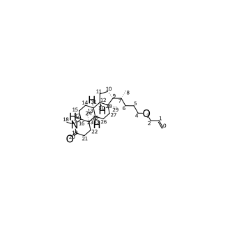 C=CCOCCC[C@@H](C)[C@H]1CC[C@H]2[C@@H]3CC[C@H]4N(C)C(=O)CC[C@]4(C)[C@H]3CC[C@]12C